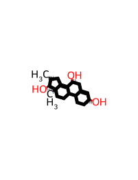 C[C@@H]1CC2=C3C(CC[C@]2(C)[C@H]1O)C1CC[C@H](O)C=C1C[C@@H]3O